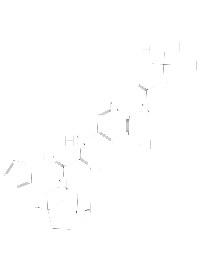 Cc1cc(NC(=O)C(=O)N2C[C@@H]3CC[C@@H](C3)[C@@H]2c2cccs2)cnc1NC(=O)OC(C)(C)C